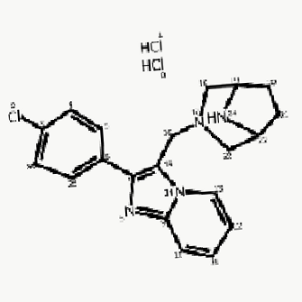 Cl.Cl.Clc1ccc(-c2nc3ccccn3c2CN2CC3CCC(C2)N3)cc1